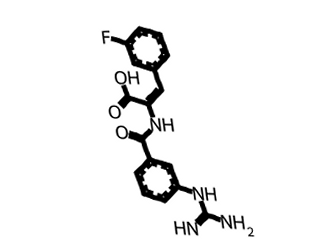 N=C(N)Nc1cccc(C(=O)N/C(=C/c2cccc(F)c2)C(=O)O)c1